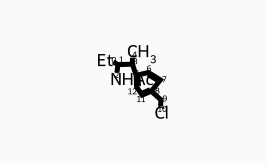 CCC(NC(C)=O)C(C)c1ccc(CCl)cc1